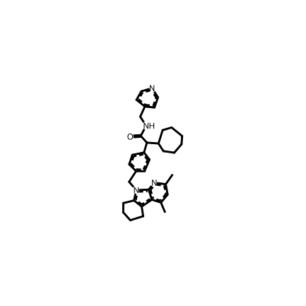 Cc1cc(C)c2c3c(n(Cc4ccc(C(C(=O)NCc5ccncc5)C5CCCCCC5)cc4)c2n1)CCCC3